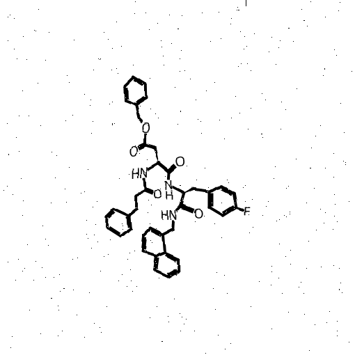 O=C(CCc1ccccc1)N[C@@H](CC(=O)OCc1ccccc1)C(=O)N[C@@H](Cc1ccc(F)cc1)C(=O)NCc1cccc2ccccc12